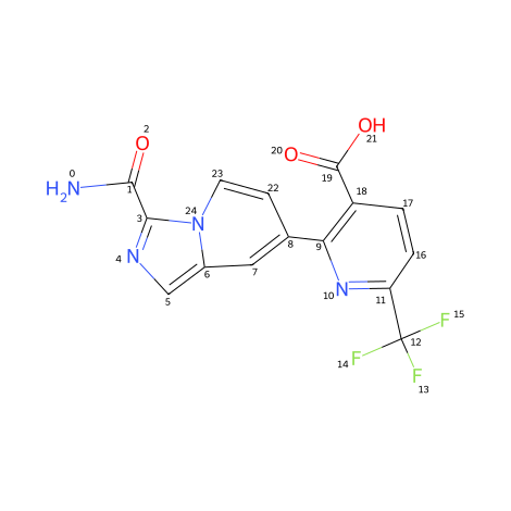 NC(=O)c1ncc2cc(-c3nc(C(F)(F)F)ccc3C(=O)O)ccn12